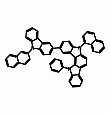 c1ccc(-n2c3ccccc3c3ccc4c(c5cc(-c6ccc7c(c6)c6ccccc6n7-c6ccc7ccccc7c6)ccc5n4-c4cccc5ccccc45)c32)cc1